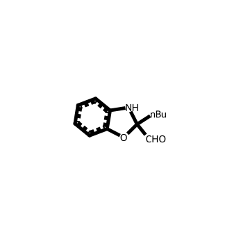 CCCCC1(C=O)Nc2ccccc2O1